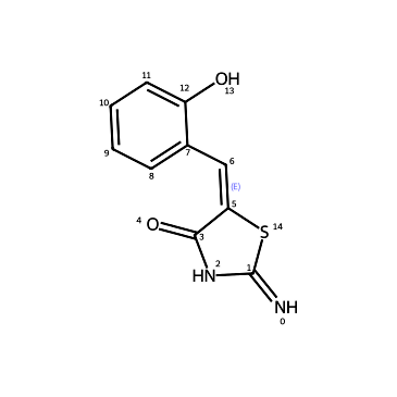 N=C1NC(=O)/C(=C\c2ccccc2O)S1